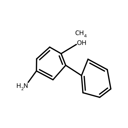 C.Nc1ccc(O)c(-c2ccccc2)c1